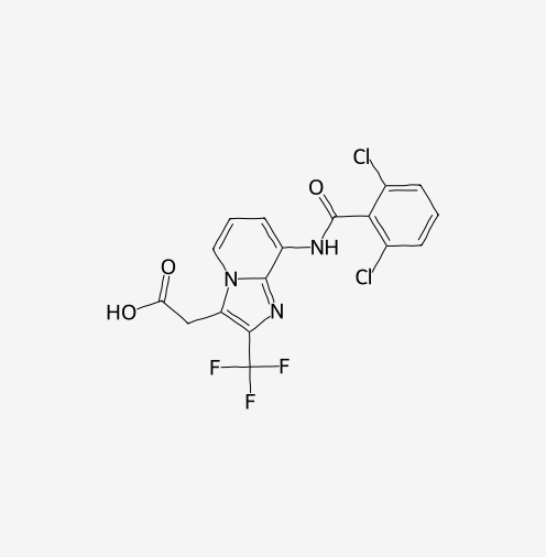 O=C(O)Cc1c(C(F)(F)F)nc2c(NC(=O)c3c(Cl)cccc3Cl)cccn12